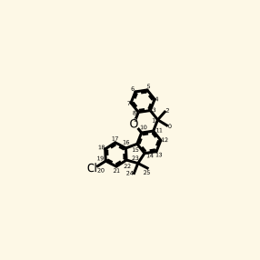 CC1(C)c2ccccc2Oc2c1ccc1c2-c2ccc(Cl)cc2C1(C)C